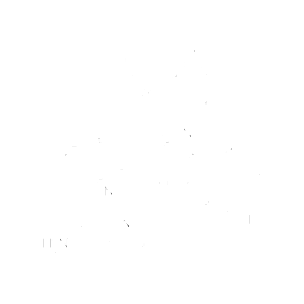 NC1C[C@H]2COc3c(c(F)cc4c(=O)c(C(=O)O)cn(-c5ccc(F)cc5)c34)N2C1